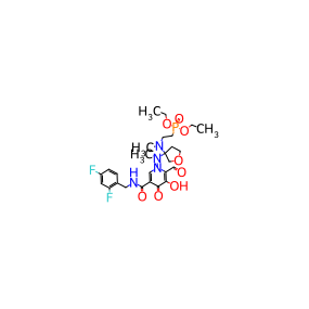 CCOP(=O)(CCN(C)C1(N(C)n2cc(C(=O)NCc3ccc(F)cc3F)c(=O)c(O)c2C=O)CCOC1)OCC